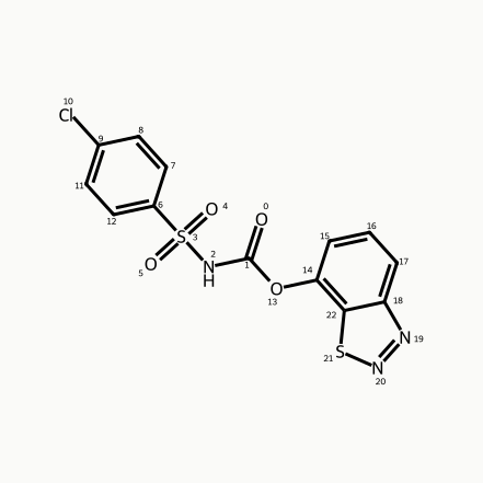 O=C(NS(=O)(=O)c1ccc(Cl)cc1)Oc1cccc2nnsc12